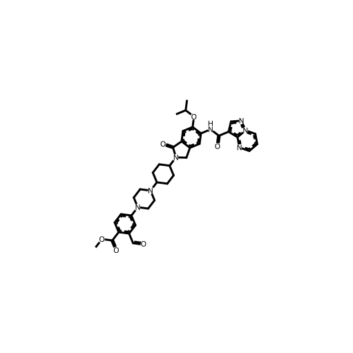 COC(=O)c1ccc(N2CCN(C3CCC(N4Cc5cc(NC(=O)c6cnn7cccnc67)c(OC(C)C)cc5C4=O)CC3)CC2)cc1C=O